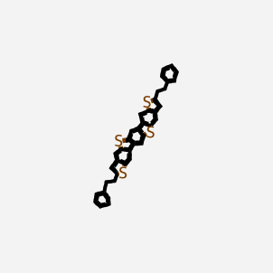 c1ccc(CCc2cc3cc4sc5cc6c(cc5c4cc3s2)sc2cc3cc(CCc4ccccc4)sc3cc26)cc1